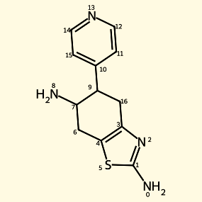 Nc1nc2c(s1)CC(N)C(c1ccncc1)C2